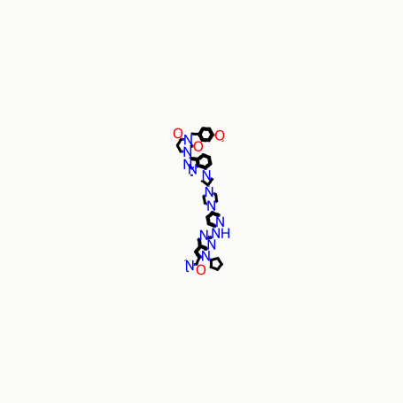 COc1ccc(CN2C(=O)CCN(c3nn(C)c4c(N5CC(N6CCN(c7ccc(Nc8ncc9cc(C(=O)N(C)C)n(C%10CCCC%10)c9n8)nc7)CC6)C5)cccc34)C2=O)cc1